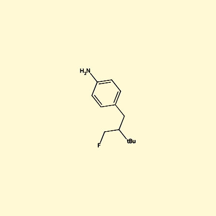 CC(C)(C)C(CF)Cc1ccc(N)cc1